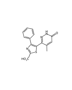 Cc1cc(=O)[nH]nc1-c1sc(C(=O)O)nc1-c1ccccc1